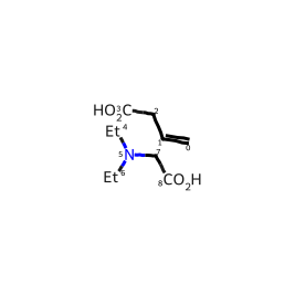 C=CCC(=O)O.CCN(CC)CC(=O)O